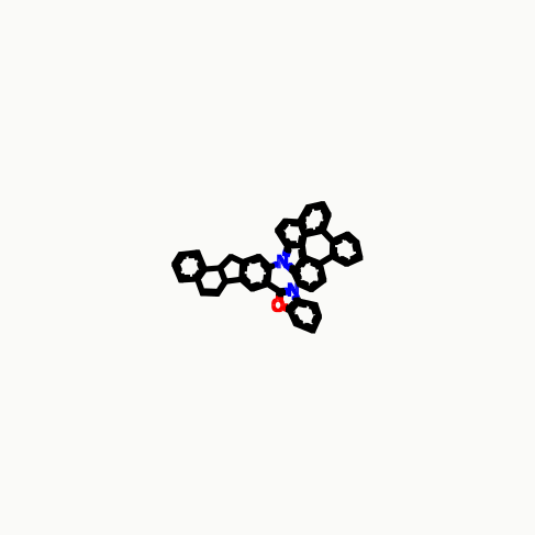 C1=CC2c3cc(-c4nc5ccccc5o4)c(-n4c5cccc6c5c5c7c(cccc7ccc54)-c4ccccc4-6)cc3CC2c2ccccc21